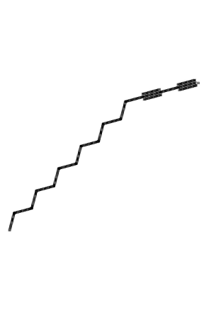 [C]#CC#CCCCCCCCCCCCC